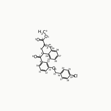 COC(=O)CCC(C(=O)c1cccc(OCc2ccc(Cl)cc2)c1)c1ccccc1C